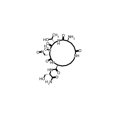 CC(O)[C@@H]1NC(=O)[C@@H](N)CCC(=O)NCCCC[C@@H](C(=O)N[C@@H](CO)C(N)=O)NC(=O)[C@H](CN=O)N(C)C1=O